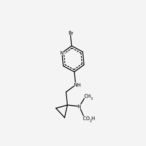 CN(C(=O)O)C1(CNc2ccc(Br)nc2)CC1